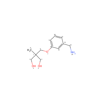 CC(CO)(CO)COc1cc[c]c(CN)c1